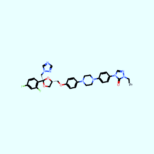 CC(C)Cn1ncn(-c2ccc(N3CCN(c4ccc(OC[C@@H]5CO[C@@](Cn6cncn6)(c6ccc(F)cc6F)O5)cc4)CC3)cc2)c1=O